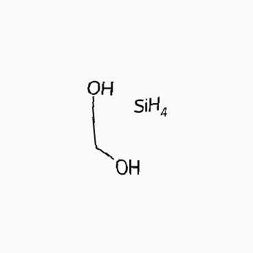 OCO.[SiH4]